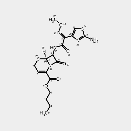 CCCCOC(=O)C1=CCS[C@H]2C(NC(=O)C(=NOC)c3csc(N)n3)C(=O)N12